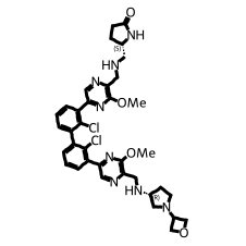 COc1nc(-c2cccc(-c3cccc(-c4cnc(CN[C@@H]5CCN(C6COC6)C5)c(OC)n4)c3Cl)c2Cl)cnc1CNC[C@@H]1CCC(=O)N1